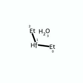 C[CH2][Hf][CH2]C.O